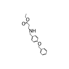 CCOC(=O)CCNCc1ccc(OCc2ccccc2)cc1